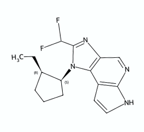 CC[C@@H]1CCC[C@@H]1n1c(C(F)F)nc2cnc3[nH]ccc3c21